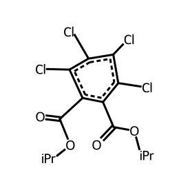 CC(C)OC(=O)c1c(Cl)c(Cl)c(Cl)c(Cl)c1C(=O)OC(C)C